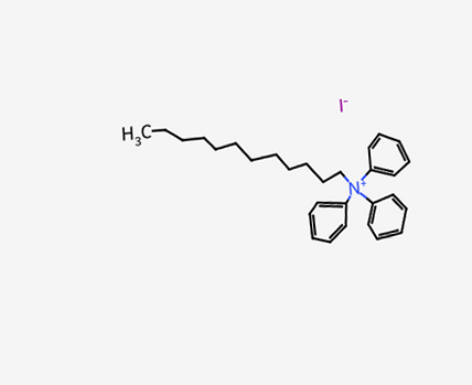 CCCCCCCCCCCC[N+](c1ccccc1)(c1ccccc1)c1ccccc1.[I-]